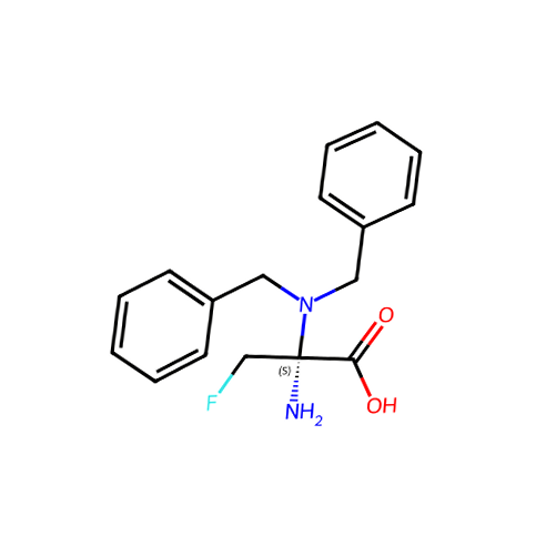 N[C@@](CF)(C(=O)O)N(Cc1ccccc1)Cc1ccccc1